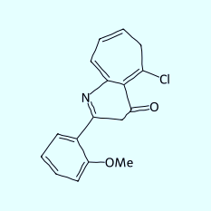 COc1ccccc1C1=NC2=CC=CCC(Cl)=C2C(=O)C1